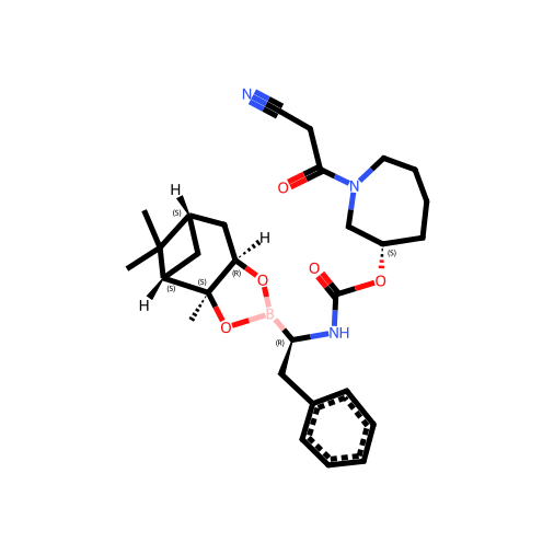 CC1(C)[C@@H]2C[C@H]3OB([C@H](Cc4ccccc4)NC(=O)O[C@H]4CCCCN(C(=O)CC#N)C4)O[C@@]3(C)[C@H]1C2